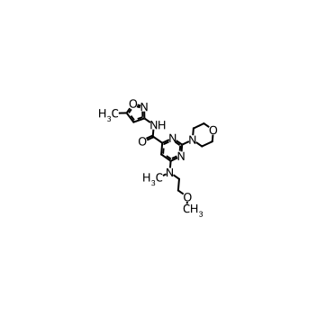 COCCN(C)c1cc(C(=O)Nc2cc(C)on2)nc(N2CCOCC2)n1